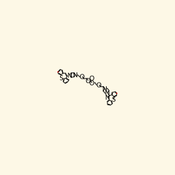 O=C(OCCOCCN1CCN(C2=Cc3ccccc3Sc3ccccc32)CC1)OCCOCCN1CCN(C2=Nc3ccccc3Sc3ccccc32)CC1